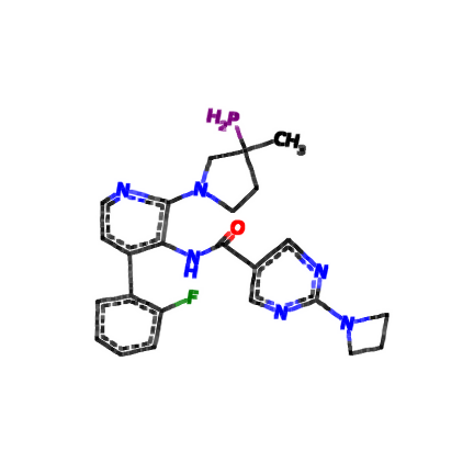 CC1(P)CCN(c2nccc(-c3ccccc3F)c2NC(=O)c2cnc(N3CCC3)nc2)C1